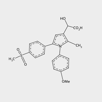 COc1ccc(-n2c(-c3ccc(S(C)(=O)=O)cc3)cc(C(O)C(=O)O)c2C)cc1